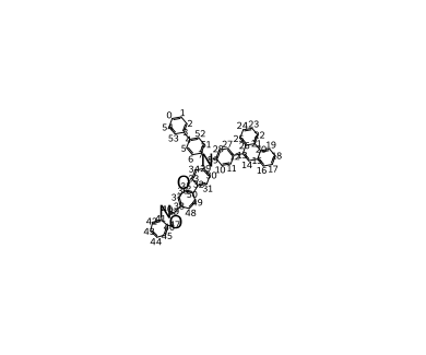 c1ccc(-c2ccc(N(c3ccc(-c4cc5ccccc5c5ccccc45)cc3)c3ccc4c(c3)oc3cc(-c5nc6ccccc6o5)ccc34)cc2)cc1